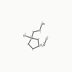 CCCOC[N+]1(CC)CCCC1.O=[N+]([O-])[O-]